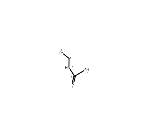 CC(C)CNC(=S)S